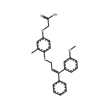 COc1cccc(/C(=C\CSc2ccc(OCC(=O)O)cc2C)c2ccccc2)c1